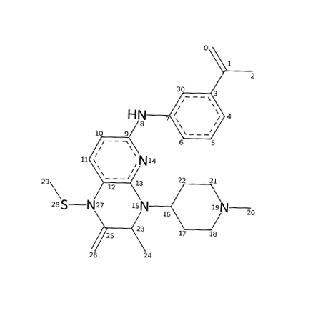 C=C(C)c1cccc(Nc2ccc3c(n2)N(C2CCN(C)CC2)C(C)C(=C)N3SC)c1